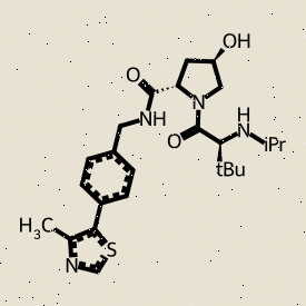 Cc1ncsc1-c1ccc(CNC(=O)[C@@H]2C[C@@H](O)CN2C(=O)[C@@H](NC(C)C)C(C)(C)C)cc1